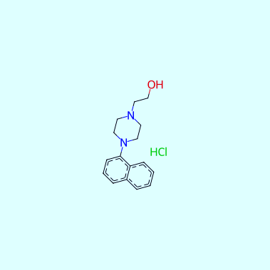 Cl.OCCN1CCN(c2cccc3ccccc23)CC1